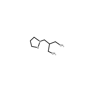 CCC(CC)CN1CCCO1